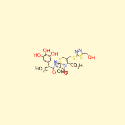 CO[C@@]1(NC(=O)C(C(=O)O)c2cc(O)c(O)c(O)c2)C(=O)N2C(C(=O)O)=C(CSc3nnc(CO)s3)CS[C@H]21